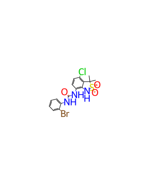 CC1(C)c2c(Cl)ccc(NC(=O)Nc3ccccc3Br)c2NS1(=O)=O